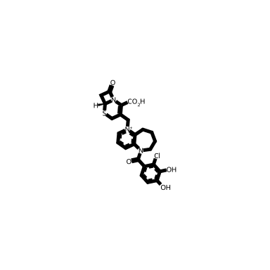 O=C(O)C1=C(C[n+]2cccc3c2CCCCN3C(=O)c2ccc(O)c(O)c2Cl)CS[C@@H]2CC(=O)N12